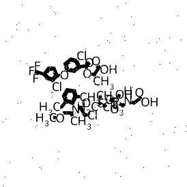 CCc1cccc(C)c1N(C(=O)CCl)C(C)COC.C[C@H](OC(=O)c1cc(Oc2ccc(C(F)(F)F)cc2Cl)ccc1Cl)C(=O)O.C[S+](C)C.O=C(O)CNCP(=O)([O-])O